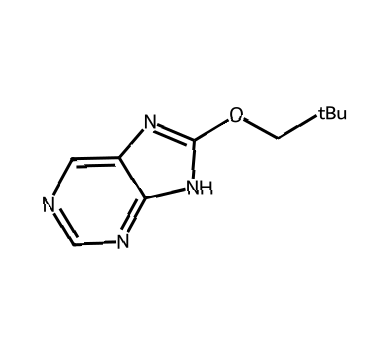 CC(C)(C)COc1nc2cncnc2[nH]1